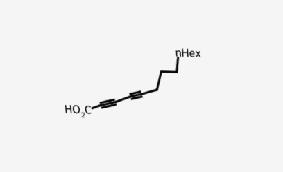 CCCCCCCCCC#CC#CC(=O)O